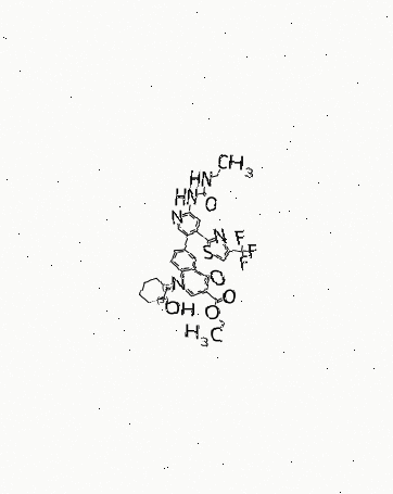 CCNC(=O)Nc1cc(-c2nc(C(F)(F)F)cs2)c(-c2ccc3c(c2)c(=O)c(C(=O)OCC)cn3[C@H]2CCCC[C@@H]2O)cn1